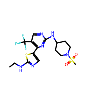 CCNc1ncc(-c2nc(NC3CCN(S(C)(=O)=O)CC3)ncc2C(F)(F)F)s1